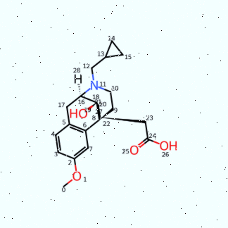 COc1ccc2c(c1)[C@]13CCN(CC4CC4)[C@H](C2)[C@]1(O)CC[C@@H](CC(=O)O)C3